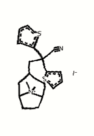 C[N+]1(C)C2CCC1CC(CC(C#N)(c1cccs1)c1cccs1)C2.[I-]